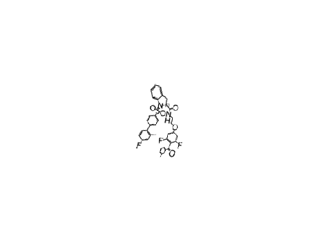 COC(=O)c1c(F)cc(OCCNC(=O)[C@@H]2Cc3ccccc3N2S(=O)(=O)c2ccc(-c3ccc(F)cc3C)cc2)cc1F